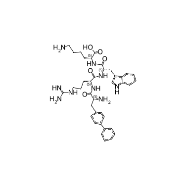 N=C(N)NCCC[C@H](NC(=O)[C@@H](N)Cc1ccc(-c2ccccc2)cc1)C(=O)N[C@@H](Cc1c[nH]c2ccccc12)C(=O)N[C@@H](CCCCN)C(=O)O